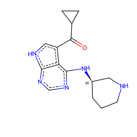 O=C(c1c[nH]c2ncnc(N[C@@H]3CCCNC3)c12)C1CC1